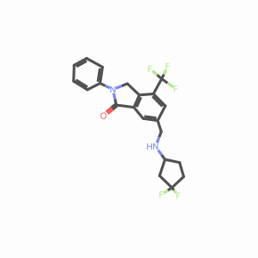 O=C1c2cc(CNC3CCC(F)(F)C3)cc(C(F)(F)F)c2CN1c1ccccc1